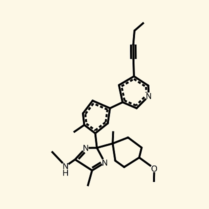 CCC#Cc1cncc(-c2ccc(C)c(C3(C4(C)CCC(OC)CC4)N=C(C)C(NC)=N3)c2)c1